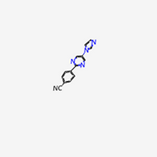 N#Cc1ccc(-c2ncc(-n3ccnc3)cn2)cc1